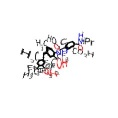 CCC(C)(C)c1cc(C)c(Cc2cc(C(O)(C(F)(F)F)C(F)(F)F)c(NC(=O)c3cc(C(=O)O)c(C(=O)NC(C)C)cc3C(=O)O)cc2C)cc1C(O)(C(F)(F)F)C(F)(F)F